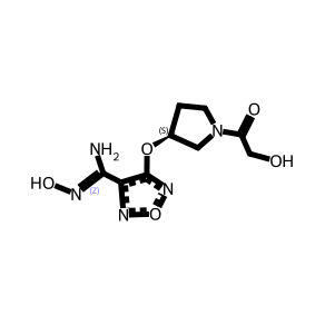 N/C(=N\O)c1nonc1O[C@H]1CCN(C(=O)CO)C1